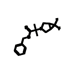 CC(C)(C(=O)OCc1ccccc1)N1CC2C(C1)C2(F)F